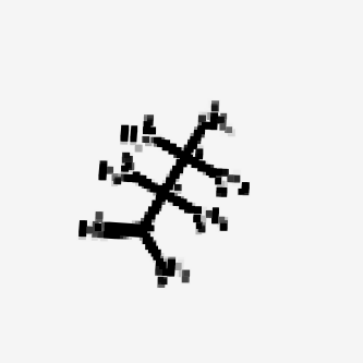 CC(C)(C)C(C)(C)C(=N)N